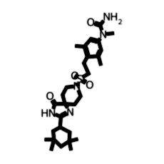 Cc1cc(N(C)C(N)=O)cc(C)c1CCS(=O)(=O)N1CCC2(CC1)N=C(C1CC(C)(C)CC(C)(C)C1)NC2=O